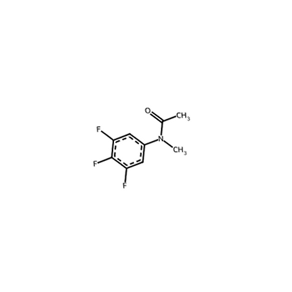 CC(=O)N(C)c1cc(F)c(F)c(F)c1